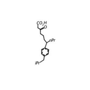 CCCC(CCCC(=O)CC(=O)O)c1ccc(CC(C)C)cc1